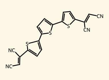 N#CC=C(C#N)c1ccc(-c2ccc(-c3ccc(C(C#N)=CC#N)s3)s2)s1